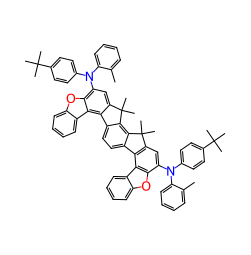 Cc1ccccc1N(c1ccc(C(C)(C)C)cc1)c1cc2c(c3c1oc1ccccc13)-c1ccc3c(c1C2(C)C)C(C)(C)c1cc(N(c2ccc(C(C)(C)C)cc2)c2ccccc2C)c2oc4ccccc4c2c1-3